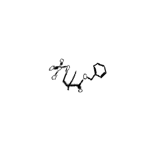 CC(C)(COS(=O)(=O)Cl)C(=O)OCc1ccccc1